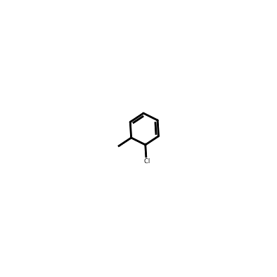 CC1C=CC=C[C]1Cl